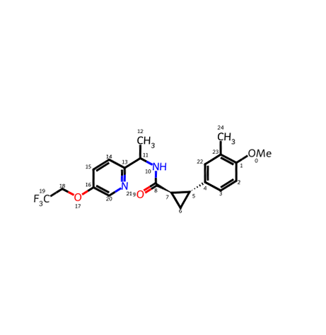 COc1ccc([C@@H]2C[C@H]2C(=O)NC(C)c2ccc(OCC(F)(F)F)cn2)cc1C